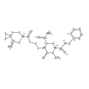 CC1C(=O)N(CCCC(=O)N2CCC3(CC3)[C@H](O)C2)C(C(N)=O)CN1C(=O)OCc1ccccc1